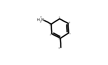 CC1=CC(N)CC=C1